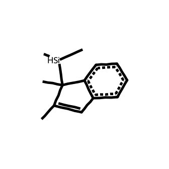 CC1=Cc2ccccc2C1(C)[SiH](C)C